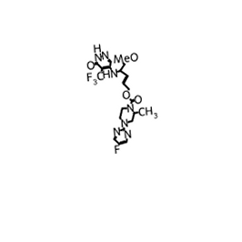 COCC(/C=C/COC(=O)N1CCN(c2ncc(F)cn2)CC1C)Nc1cn[nH]c(=O)c1C(F)(F)F